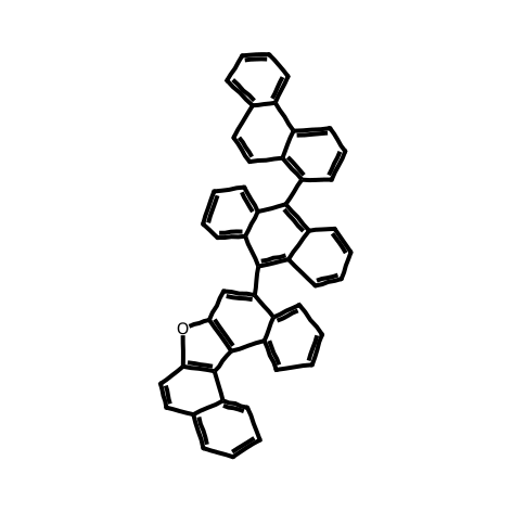 c1ccc2c(c1)ccc1c(-c3c4ccccc4c(-c4cc5oc6ccc7ccccc7c6c5c5ccccc45)c4ccccc34)cccc12